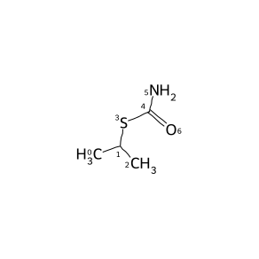 CC(C)SC(N)=O